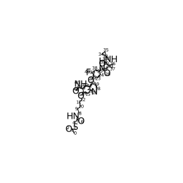 CC(=O)SCC(=O)NCCCCCOc1cc2nccc(Oc3ccc(NC(=O)C4(C(=O)NC5CC5)CC4)cc3F)c2cc1C(N)=O